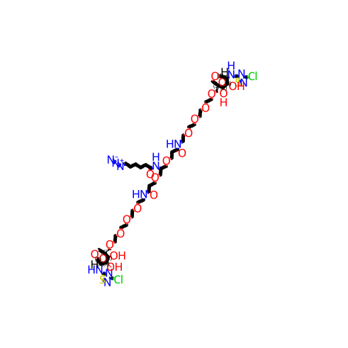 [N-]=[N+]=NCCCCCC(=O)NC(COCCC(=O)NCCOCCOCCOCCOC[C@@]12CO[C@@H](O1)[C@H](Nc1nc(Cl)ns1)[C@@H](O)[C@H]2O)COCCC(=O)NCCOCCOCCOCCOC[C@@]12CO[C@@H](O1)[C@H](Nc1nc(Cl)ns1)[C@@H](O)[C@H]2O